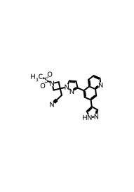 CS(=O)(=O)N1CC(CC#N)(n2ccc(-c3cc(-c4cn[nH]c4)cc4ncccc34)n2)C1